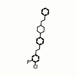 Fc1cc(CCc2ccc(C3CCC(CCc4ccccc4)CC3)cc2)ccc1Cl